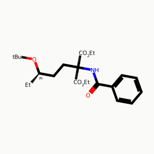 CCOC(=O)C(CC[C@@H](CC)OC(C)(C)C)(NC(=O)c1ccccc1)C(=O)OCC